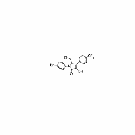 O=C1C(O)=C(c2ccc(C(F)(F)F)cc2)C(CCl)N1c1ccc(Br)cc1